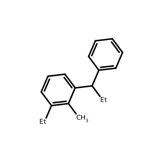 CCc1cccc(C(CC)c2ccccc2)c1C